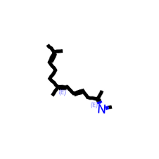 C/N=C(\C)CC=C/C=C(\C)CCC=C(C)C